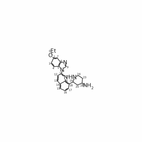 CCOc1ccc2c(c1)ncn2-c1ccc2cccc(C3CC(N)CCN3)c2n1